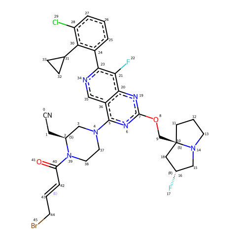 N#CC[C@H]1CN(c2nc(OC[C@@]34CCCN3C[C@H](F)C4)nc3c(F)c(-c4cccc(Cl)c4C4CC4)ncc23)CCN1C(=O)/C=C/CBr